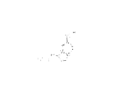 CCNc1noc2ccc(B(O)O)cc12